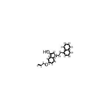 C=CCOc1ccc2c(c1)c(O)cn2CCc1cccc2ccccc12